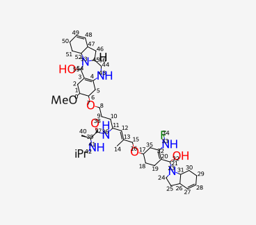 COC1CC2=C(CC1OCCCC(/C=C(\C)COC1CCC(C(O)N3CCC4C=CCCC43)=C(NF)C1)NC(=O)[C@H](C)NC(C)C)NC[C@@H]1CC3C=CCCC3N1C2O